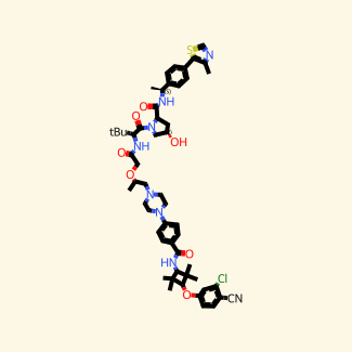 Cc1ncsc1-c1ccc([C@H](C)NC(=O)C2C[C@@H](O)CN2C(=O)C(NC(=O)COC(C)CN2CCN(c3ccc(C(=O)NC4C(C)(C)C(Oc5ccc(C#N)c(Cl)c5)C4(C)C)cc3)CC2)C(C)(C)C)cc1